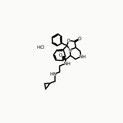 Cl.O=C(NCCNCC1CC1)C1CNCC2C(=O)OC(c3ccccc3)(c3ccccc3)N12